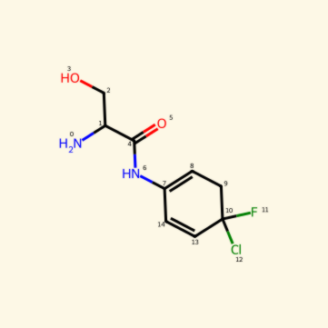 NC(CO)C(=O)NC1=CCC(F)(Cl)C=C1